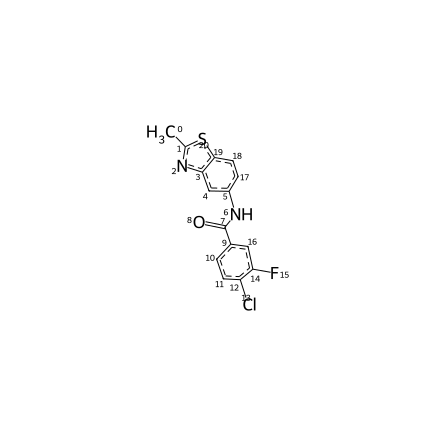 Cc1nc2cc(NC(=O)c3ccc(Cl)c(F)c3)ccc2s1